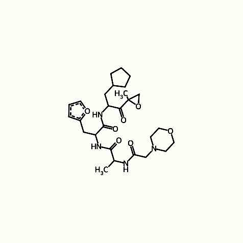 CC(NC(=O)CN1CCOCC1)C(=O)NC(Cc1ccco1)C(=O)NC(CC1CCCC1)C(=O)C1(C)CO1